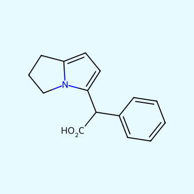 O=C(O)C(c1ccccc1)c1ccc2n1CCC2